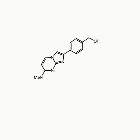 CNC1C=Cn2cc(-c3ccc(CO)cc3)nc2N1